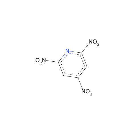 O=[N+]([O-])c1[c]c([N+](=O)[O-])nc([N+](=O)[O-])c1